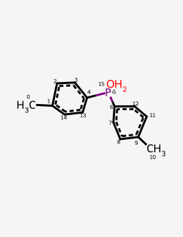 Cc1ccc([P]c2ccc(C)cc2)cc1.O